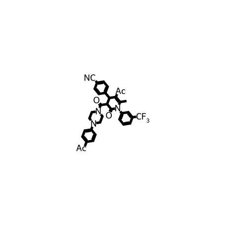 CC(=O)C1=C(C)N(c2cccc(C(F)(F)F)c2)C(=O)C(C(=O)N2CCN(c3ccc(C(C)=O)cc3)CC2)C1c1ccc(C#N)cc1